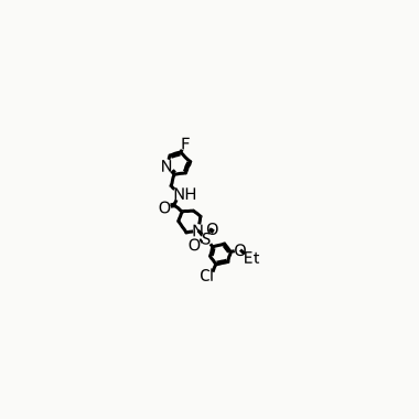 CCOc1cc(Cl)cc(S(=O)(=O)N2CCC(C(=O)NCc3ccc(F)cn3)CC2)c1